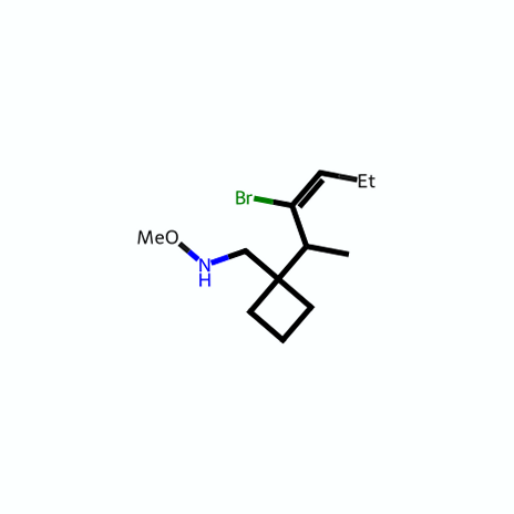 CC/C=C(/Br)C(C)C1(CNOC)CCC1